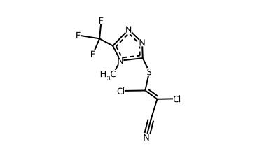 Cn1c(SC(Cl)=C(Cl)C#N)nnc1C(F)(F)F